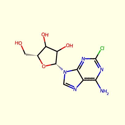 Nc1nc(Cl)nc2c1ncn2[C@@H]1O[C@H](CO)C(O)C1O